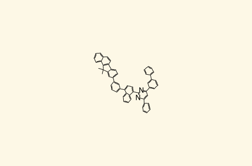 CC1(C)c2cc(-c3cccc(-c4ccc(-c5nc(-c6ccccc6)cc(-c6cccc(-c7ccccc7)c6)n5)c5ccccc45)c3)ccc2-c2ccc3ccccc3c21